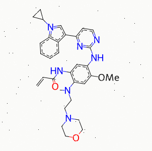 C=CC(=O)Nc1cc(Nc2nccc(-c3cn(C4CC4)c4ccccc34)n2)c(OC)cc1N(C)CCN1CCOCC1